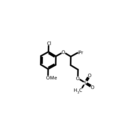 COc1ccc(Cl)c(OC(CCOS(C)(=O)=O)C(C)C)c1